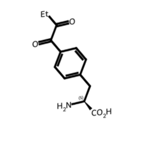 CCC(=O)C(=O)c1ccc(C[C@H](N)C(=O)O)cc1